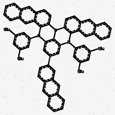 CC(C)(C)c1cc(N2c3cc(-c4ccc5cc6ccccc6cc5c4)cc4c3B(c3ccc5cc6ccccc6cc5c32)c2ccc3cc5ccccc5cc3c2N4c2cc(C(C)(C)C)cc(C(C)(C)C)c2)cc(C(C)(C)C)c1